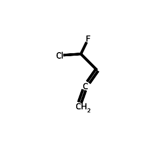 C=C=CC(F)Cl